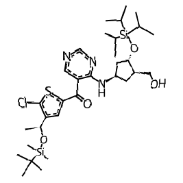 CC(C)[Si](O[C@H]1C[C@H](Nc2ncncc2C(=O)c2cc([C@H](C)O[Si](C)(C)C(C)(C)C)c(Cl)s2)C[C@@H]1CO)(C(C)C)C(C)C